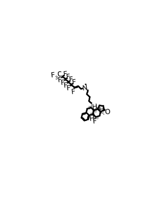 CN(CC=C(F)C(F)(F)C(F)(F)C(F)(F)C(F)(F)C(F)(F)F)CCCCC[C@H]1Cc2ccccc2[C@@H]2[C@@H]1[C@@H]1CCC(=O)[C@@]1(C)C[C@@H]2F